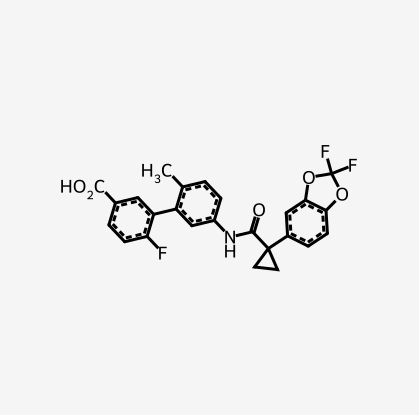 Cc1ccc(NC(=O)C2(c3ccc4c(c3)OC(F)(F)O4)CC2)cc1-c1cc(C(=O)O)ccc1F